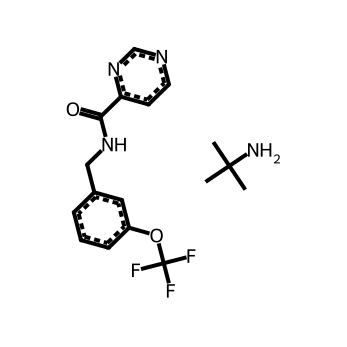 CC(C)(C)N.O=C(NCc1cccc(OC(F)(F)F)c1)c1ccncn1